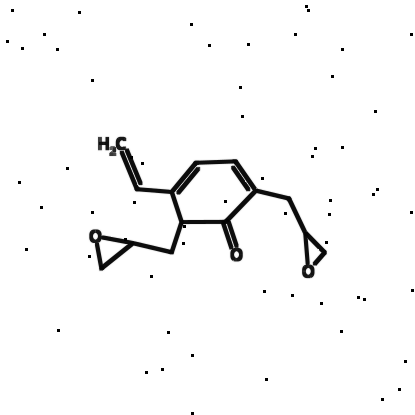 C=CC1=CC=C(CC2CO2)C(=O)C1CC1CO1